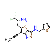 CC#Cc1c(C[C@@H](N)C(F)F)sc2c(NCc3cccs3)snc12